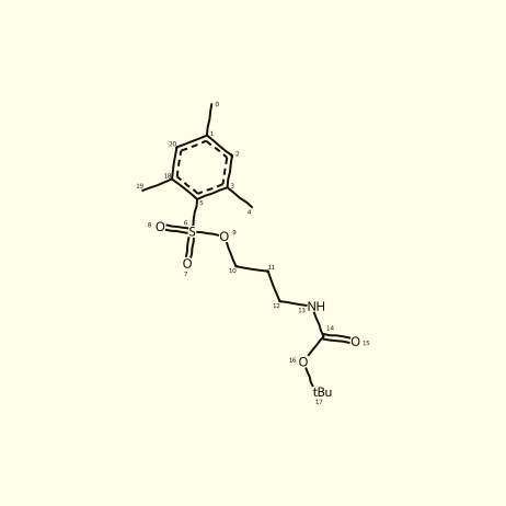 Cc1cc(C)c(S(=O)(=O)OCCCNC(=O)OC(C)(C)C)c(C)c1